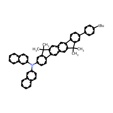 CC(C)(C)c1ccc(-c2ccc3c(c2)C(C)(C)c2cc4cc5c(cc4cc2-3)C(C)(C)c2cc(N(c3ccc4ccccc4c3)c3ccc4ccccc4c3)ccc2-5)cc1